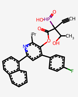 C#CC(C(=O)Oc1c(-c2ccc(F)cc2)cc(-c2cccc3ccccc23)nc1C(C)C)(C(C)O)[PH](=O)O